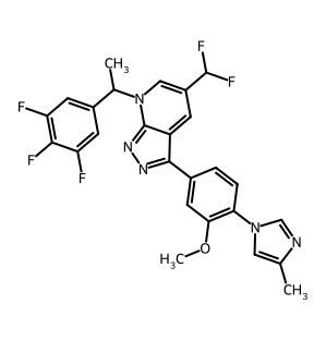 COc1cc(-c2nnc3n(C(C)c4cc(F)c(F)c(F)c4)cc(C(F)F)cc2-3)ccc1-n1cnc(C)c1